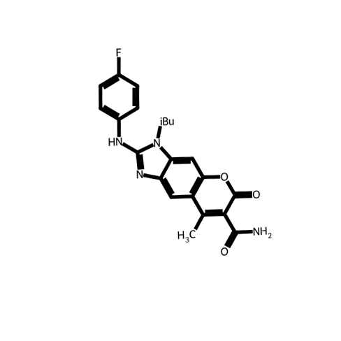 CCC(C)n1c(Nc2ccc(F)cc2)nc2cc3c(C)c(C(N)=O)c(=O)oc3cc21